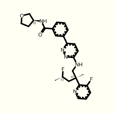 C[C@H](F)C[C@@](C)(CNc1ccc(-c2cccc(C(=O)N[C@H]3CCOC3)c2)nn1)c1ncccc1F